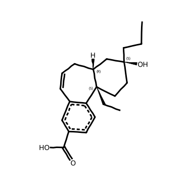 CCC[C@]1(O)CC[C@]2(CC)c3ccc(C(=O)O)cc3C=CC[C@@H]2C1